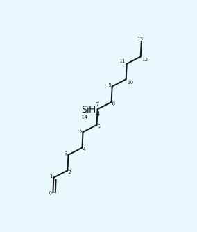 C=CCCCCCCCCCCCC.[SiH4]